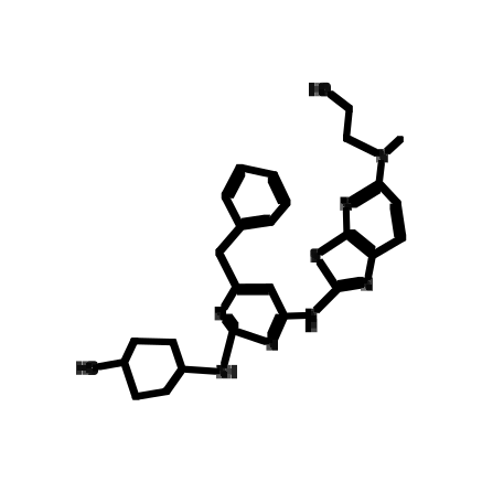 CN(CCO)c1ccc2nc(Nc3cc(Cc4ccccc4)nc(NC4CCC(O)CC4)n3)sc2n1